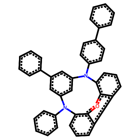 c1ccc(-c2ccc(N3c4cc(-c5ccccc5)cc(c4)N(c4ccccc4)c4cccc5c4oc4c3cccc45)cc2)cc1